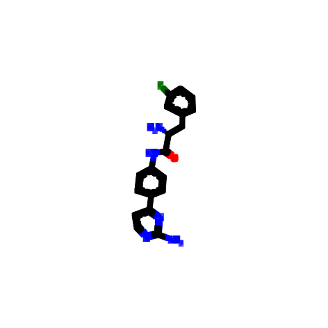 Nc1nccc(-c2ccc(NC(=O)[C@H](N)Cc3cccc(F)c3)cc2)n1